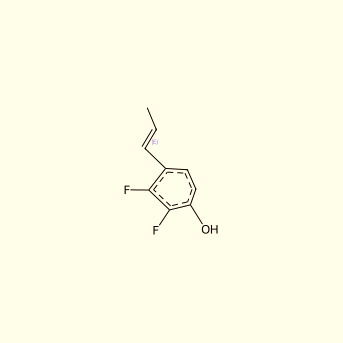 C/C=C/c1ccc(O)c(F)c1F